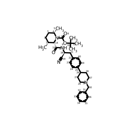 C[C@@H]1CC[C@H](C)N(C(=O)OC(C)(C)C)[C@@H]1C(=O)N[C@H](C#N)Cc1ccc(C2CCN(Cc3ccccc3)CC2)cc1